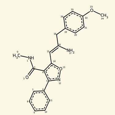 CNC(=O)c1c(-c2ccccc2)noc1C=C(N)Cc1ccc(OC)cc1